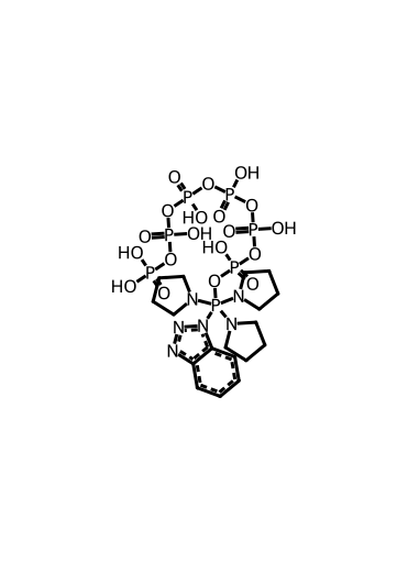 O=P(O)(O)OP(=O)(O)OP(=O)(O)OP(=O)(O)OP(=O)(O)OP(=O)(O)OP(N1CCCC1)(N1CCCC1)(N1CCCC1)n1nnc2ccccc21